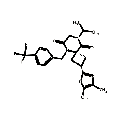 Cc1nc([C@H]2C[C@@]3(C2)C(=O)N(C(C)C)CC(=O)N3Cc2ccc(C(F)(F)F)cc2)oc1C